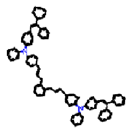 C(=C(c1ccccc1)c1ccccc1)c1ccc(N(c2ccccc2)c2ccc(/C=C/Cc3ccccc3C/C=C/c3ccc(N(c4ccccc4)c4ccc(C=C(c5ccccc5)c5ccccc5)cc4)cc3)cc2)cc1